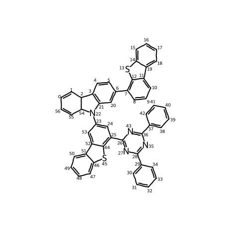 C1=CC2c3ccc(-c4cccc5c4sc4ccccc45)cc3N(c3cc(-c4nc(-c5ccccc5)nc(-c5ccccc5)n4)c4sc5ccccc5c4c3)C2C=C1